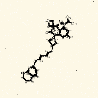 CC(C)n1nc(C2(C)COC2)c2c(C(C(=O)O)N3CC(OCCCCCc4ccc5c(n4)NCCC5)C3)cc(F)cc21